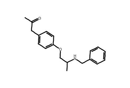 CC(=O)Cc1ccc(OCC(C)NCc2ccccc2)cc1